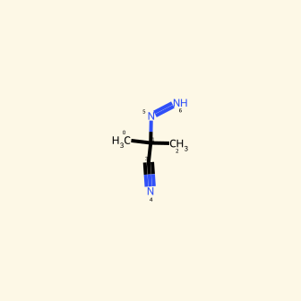 CC(C)(C#N)N=N